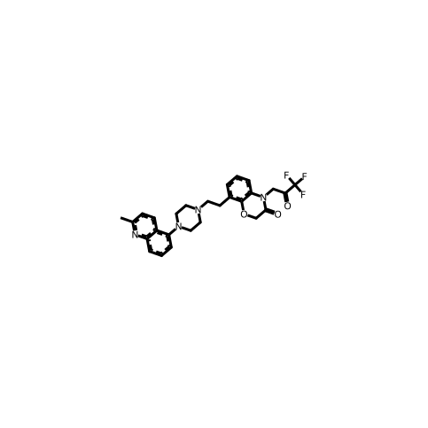 Cc1ccc2c(N3CCN(CCc4cccc5c4OCC(=O)N5CC(=O)C(F)(F)F)CC3)cccc2n1